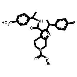 CC(NC(=O)c1c(C(C)c2ccc(F)cc2)sc2c1CCN(C(=O)OC(C)(C)C)C2)c1ccc(C(=O)O)cc1